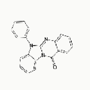 O=c1c2ccccc2nc2n(-c3ccccc3)c3ccccc3n12